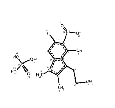 Cc1c(CCN)c2c(O)c([N+](=O)[O-])c(F)cc2n1C.O=P(O)(O)O